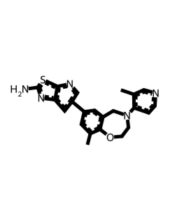 Cc1cnccc1N1CCOc2c(C)cc(-c3cnc4sc(N)nc4c3)cc2C1